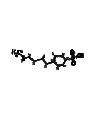 CSCCCCc1ccc(S(=O)(=O)O)cc1